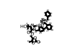 CCCc1nc(C(C)(C)O)c(C(=O)OCc2oc(=O)oc2C)n1Cc1ccc(-c2ccccc2-c2nnnn2Cc2ccccc2)cc1